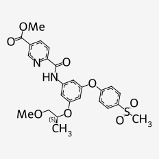 COC[C@H](C)Oc1cc(NC(=O)c2ccc(C(=O)OC)cn2)cc(Oc2ccc(S(C)(=O)=O)cc2)c1